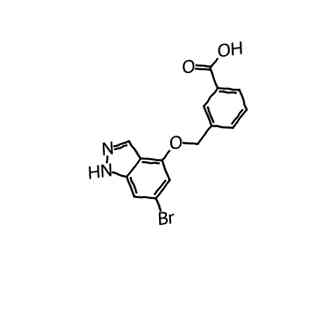 O=C(O)c1cccc(COc2cc(Br)cc3[nH]ncc23)c1